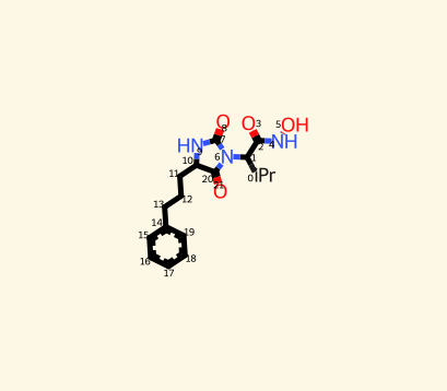 CC(C)C(C(=O)NO)N1C(=O)NC(CCCc2ccccc2)C1=O